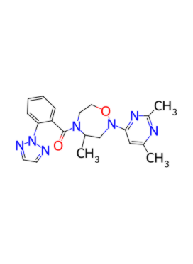 Cc1cc(N2CC(C)N(C(=O)c3ccccc3-n3nccn3)CCO2)nc(C)n1